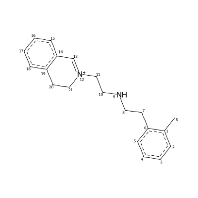 Cc1ccccc1CCNCC[N+]1=Cc2ccccc2CC1